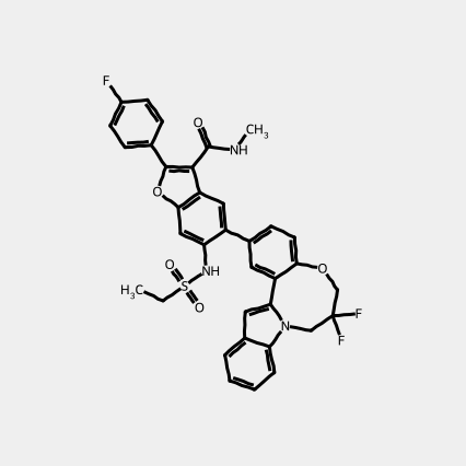 CCS(=O)(=O)Nc1cc2oc(-c3ccc(F)cc3)c(C(=O)NC)c2cc1-c1ccc2c(c1)-c1cc3ccccc3n1CC(F)(F)CO2